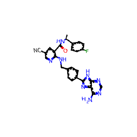 C[C@H](NC(=O)c1cc(C#N)cnc1NCc1ccc(-c2nc3c(N)ncnc3[nH]2)cc1)c1ccc(F)cc1